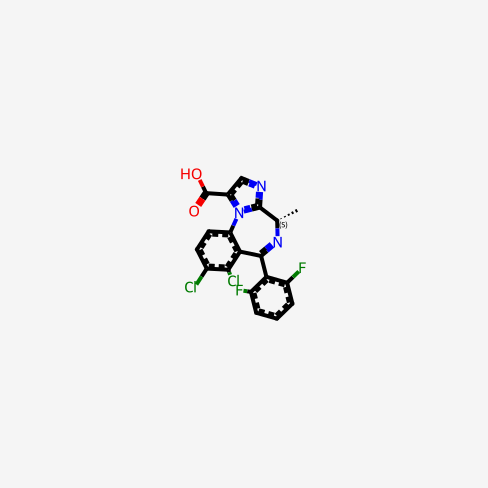 C[C@@H]1N=C(c2c(F)cccc2F)c2c(ccc(Cl)c2Cl)-n2c(C(=O)O)cnc21